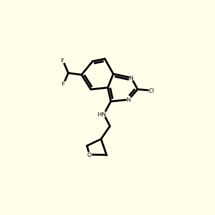 FC(F)c1ccc2nc(Cl)nc(NC[C]3COC3)c2c1